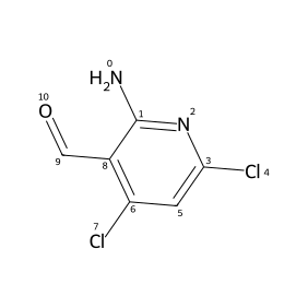 Nc1nc(Cl)cc(Cl)c1C=O